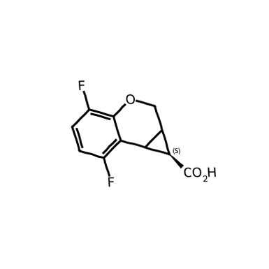 O=C(O)[C@@H]1C2COc3c(F)ccc(F)c3C21